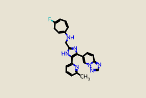 Cc1cccc(-c2[nH]c(CNC3=CCC(F)=CC=C3)nc2-c2ccc3ncnn3c2)n1